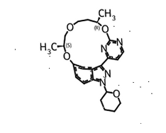 C[C@@H]1CCOC[C@H](C)Oc2ccc3c(c2)c(nn3C2CCCCO2)-c2ccnc(n2)O1